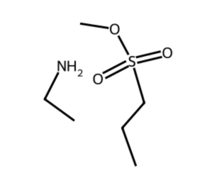 CCCS(=O)(=O)OC.CCN